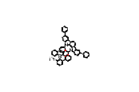 CC(C)c1cccc(-c2ccccc2)c1B1c2ccccc2Sc2cc(-n3c4ccc(-c5ccccc5)cc4c4ccc5c6cc(-c7ccccc7)ccc6n(-c6ccccc6)c5c43)ccc21